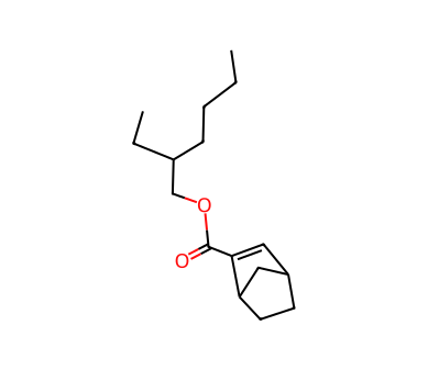 CCCCC(CC)COC(=O)C1=CC2CCC1C2